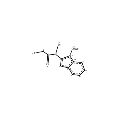 CCN(C(=O)C[O])c1cc2ccccc2n1OC